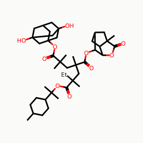 CCC(C)(CC(C)(CC(C)(C)C(=O)OC12CC3CC(O)(CC(O)(C3)C1)C2)C(=O)OC1C2CC3C1OC(=O)C3(C)C2)C(=O)OC(C)(C)C1CCC(C)CC1